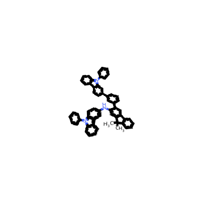 CC1(C)c2ccccc2-c2cc(-c3cccc(-c4ccc5c6ccccc6n(-c6ccccc6)c5c4)c3)c(Nc3ccc4c(c3)c3ccccc3n4-c3ccccc3)cc21